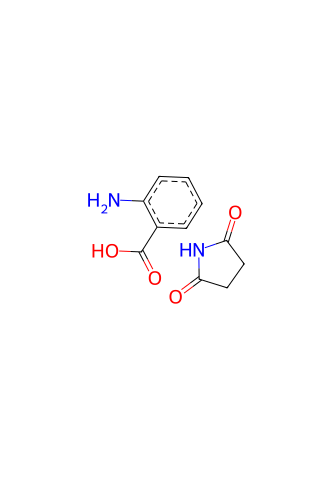 Nc1ccccc1C(=O)O.O=C1CCC(=O)N1